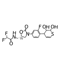 O=C(NC[C@H]1CN(c2ccc(C3C=CSC(O)C3O)c(F)c2)C(=O)O1)C(F)F